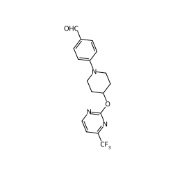 O=Cc1ccc(N2CCC(Oc3nccc(C(F)(F)F)n3)CC2)cc1